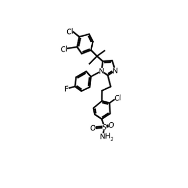 CC(C)(c1ccc(Cl)c(Cl)c1)c1cnc(CCc2ccc(S(N)(=O)=O)cc2Cl)n1-c1ccc(F)cc1